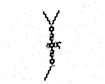 CCCCCCCCNc1ccc(-c2cc3sc(-c4c5nsnc5c(-c5cc6sc(-c7ccc(N(CCCCCCCC)CCCCCCCC)cc7)cc6s5)c5nc(CC)c(CC)nc45)cc3s2)cc1